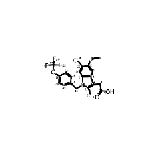 COc1cc2c(CC(=O)O)c(C)n(Cc3ccc(OC(F)(F)F)cc3)c2cc1Cl